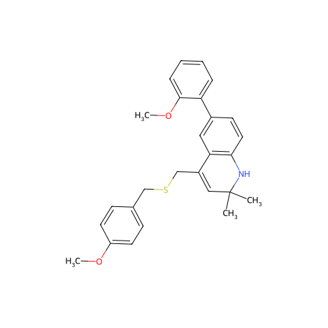 COc1ccc(CSCC2=CC(C)(C)Nc3ccc(-c4ccccc4OC)cc32)cc1